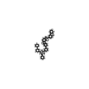 c1ccc(-c2cccc(-c3nc(-c4ccccc4)nc(-c4cccc(-c5ccc6c(c5)oc5ccc7nc(-c8ccc9sc%10ccccc%10c9c8)oc7c56)c4)n3)c2)cc1